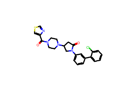 O=C(c1cscn1)N1CCN(C2CC(=O)N(c3cccc(-c4ccccc4Cl)c3)C2)CC1